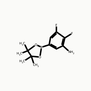 CC1(C)OB(c2cc(N)c(F)c(F)c2)OC1(C)C